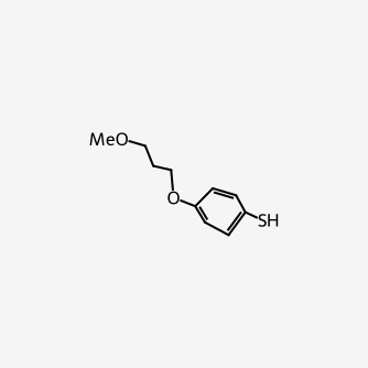 COCCCOc1ccc(S)cc1